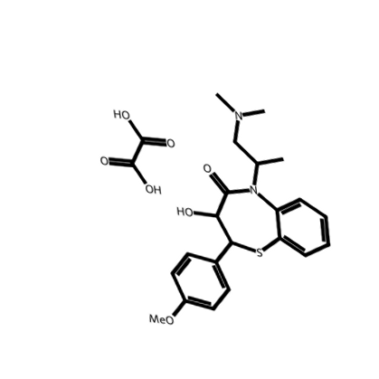 COc1ccc(C2Sc3ccccc3N(C(C)CN(C)C)C(=O)C2O)cc1.O=C(O)C(=O)O